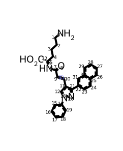 NCCCC[C@H](NC(=O)/C=C/c1cn(-c2ccccc2)nc1-c1ccc2ccccc2c1)C(=O)O